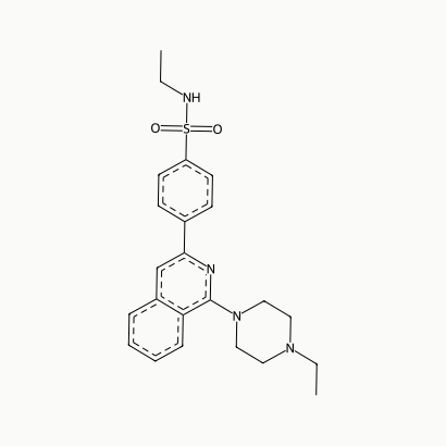 CCNS(=O)(=O)c1ccc(-c2cc3ccccc3c(N3CCN(CC)CC3)n2)cc1